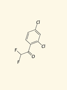 O=C(c1ccc(Cl)cc1Cl)C(F)F